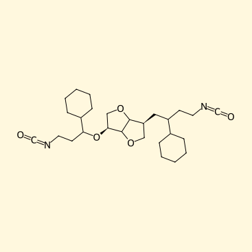 O=C=NCCC(C[C@H]1COC2C1OC[C@@H]2OC(CCN=C=O)C1CCCCC1)C1CCCCC1